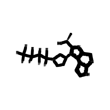 C[C@@H](O)c1nc2cnc3[nH]ccc3c2n1[C@H]1CCN(C(F)(F)C(F)(F)C(F)(F)C(F)(F)F)C1